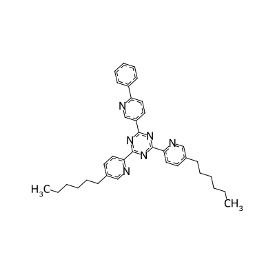 CCCCCCc1ccc(-c2nc(-c3ccc(-c4ccccc4)nc3)nc(-c3ccc(CCCCCC)cn3)n2)nc1